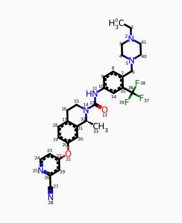 CCN1CCN(Cc2ccc(NC(=O)N3CCc4ccc(Oc5ccnc(C#N)c5)cc4[C@@H]3C)cc2C(F)(F)F)CC1